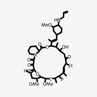 C=CCNC1CCC(C=C(C)C2OC(=O)C3CCCCN3C(=O)C(=O)C3(O)OC(C(OC)CC(C)C(F)/C(C)=C/C(CC)C(=O)CC(O)C2C)C(OC)CC3C)CC1OC